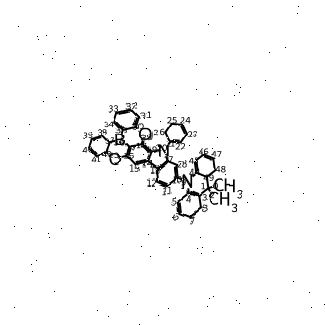 CC1(C)C2=C(C=CCC2)N(c2ccc3c4cc5c6c(c4n(C4=CC=CCC4)c3c2)Oc2ccccc2B6C2C=CC=CC2O5)C2=CC=CCC21